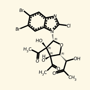 CC(=O)C(O)[C@H]1O[C@@H](n2c(Cl)nc3cc(Br)c(Br)cc32)[C@@](O)(C(C)=O)[C@@]1(O)C(C)=O